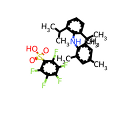 Cc1cc(C)c(Nc2c(C(C)C)cccc2C(C)C)c(C)c1.O=S(=O)(O)c1c(F)c(F)c(F)c(F)c1F